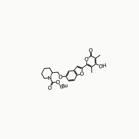 Cc1c(-c2cc3cc(OCC4CCCCN4C(=O)OC(C)(C)C)ccc3o2)oc(=O)c(C)c1O